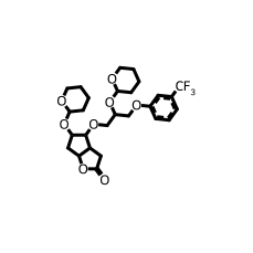 O=C1CC2C(CC(OC3CCCCO3)C2OCC(COc2cccc(C(F)(F)F)c2)OC2CCCCO2)O1